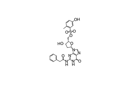 Cc1ccc(O)cc1S(=O)(=O)OC[C@H]1O[C@@H](n2cnc3c(=O)[nH]c(NC(=O)Cc4ccccc4)nc32)C[C@@H]1O